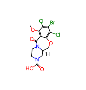 COc1c(Cl)c(Br)c(Cl)c2c1C(=O)N1CCN(C(=O)O)C[C@@H]1CO2